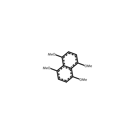 COc1[c]cc(OC)c2c(OC)ccc(OC)c12